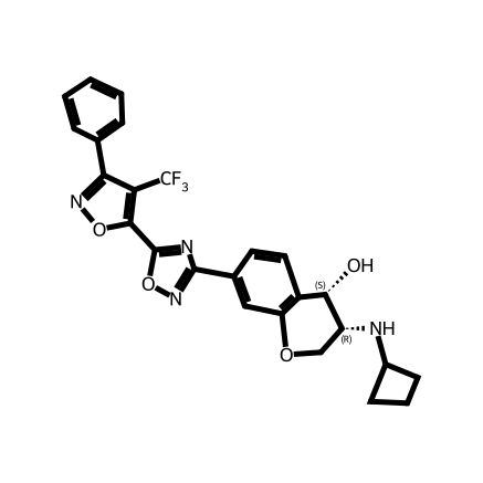 O[C@H]1c2ccc(-c3noc(-c4onc(-c5ccccc5)c4C(F)(F)F)n3)cc2OC[C@H]1NC1CCC1